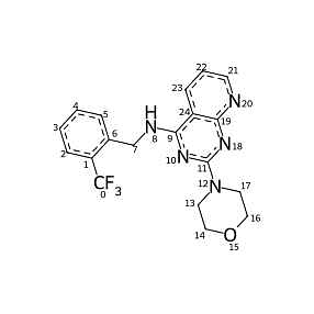 FC(F)(F)c1ccccc1CNc1nc(N2CCOCC2)nc2ncccc12